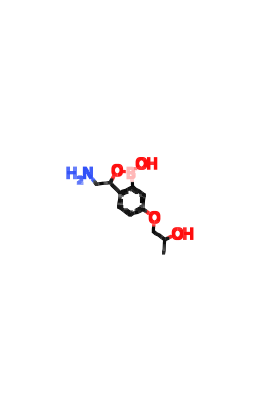 CC(O)COc1ccc2c(c1)B(O)OC2CN